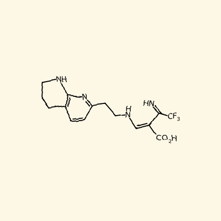 N=C(/C(=C\NCCc1ccc2c(n1)NCCC2)C(=O)O)C(F)(F)F